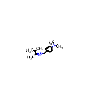 CC(=NNCc1ccc(N(C)C)cc1)C(C)C